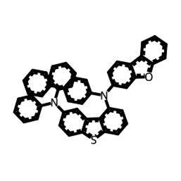 c1ccc(-c2ccc(N(c3ccc4c(c3)oc3ccccc34)c3cccc4sc5ccc(N(c6ccccc6)c6ccccc6)cc5c34)cc2)cc1